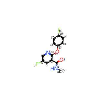 C[CH]NC(=O)c1cc(F)cnc1Oc1ccc(F)cc1